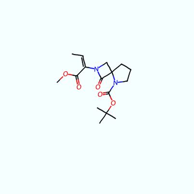 CC=C(C(=O)OC)N1CC2(CCCN2C(=O)OC(C)(C)C)C1=O